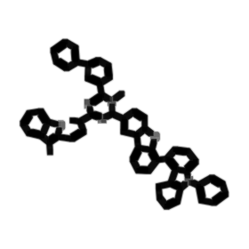 Cc1c(/C=C\C(C)C2=NC(C3=CC4c5cccc(-c6cccc7c6c6c(n7-c7ccccc7)C=CCC6)c5OC4C=C3)N(C)C(c3cccc(-c4ccccc4)c3)=N2)oc2ccccc12